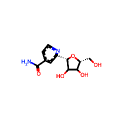 NC(=O)c1ccnc([C@@H]2O[C@H](CO)C(O)C2O)c1